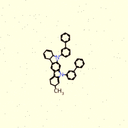 CC1C=c2c(c3cc4c(cc3n2-c2cccc(-c3ccccc3)c2)N(c2cccc(-c3ccccc3)c2)C2C=CC=CC42)=CC1